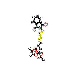 CCO[Si](CCCSSSSN1C(=O)c2ccccc2C1=O)(OCC)OCC